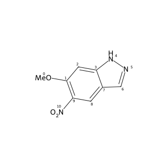 COc1cc2[nH]ncc2cc1[N+](=O)[O-]